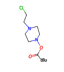 CC(C)(C)C(=O)ON1CCN(CCCl)CC1